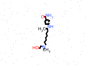 C=C(CCCCCCCN(C)CCO)Nc1ccc(C(N)=O)cc1